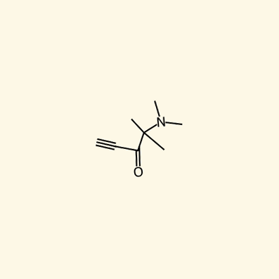 C#CC(=O)C(C)(C)N(C)C